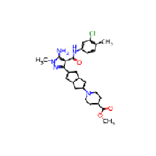 COC(=O)C1=CCN(C2CC3CC(c4nn(C)c(N)c4C(=O)Nc4ccc(C)c(Cl)c4)CC3C2)CC1